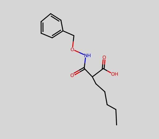 CCCCCC(C(=O)O)C(=O)NOCc1ccccc1